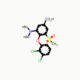 CCCCN(CCCC)c1cc(C(=O)O)cc(S(C)(=O)=O)c1Oc1cccc(Cl)c1Cl